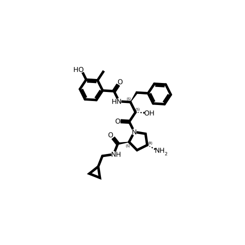 Cc1c(O)cccc1C(=O)N[C@@H](Cc1ccccc1)[C@H](O)C(=O)N1C[C@H](N)C[C@H]1C(=O)NCC1CC1